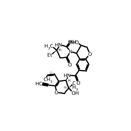 C#CC1=C(/C=C\C)[C@@H](NC(=O)c2ccc3c(c2)C(N2C(=N)N[C@](C)(CC)CC2=O)C(OC)CO3)[C@](C)(O)CO1